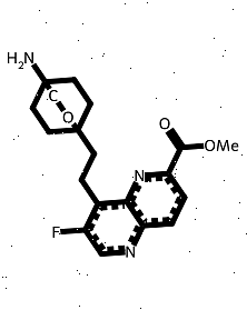 COC(=O)c1ccc2ncc(F)c(CCC34CCC(N)(CC3)CO4)c2n1